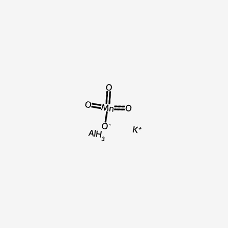 [AlH3].[K+].[O]=[Mn](=[O])(=[O])[O-]